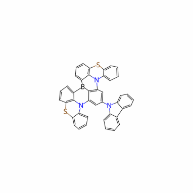 c1ccc2c(c1)Sc1cccc3c1N2c1cc(-n2c4ccccc4c4ccccc42)cc2c1B3c1cccc3c1N2c1ccccc1S3